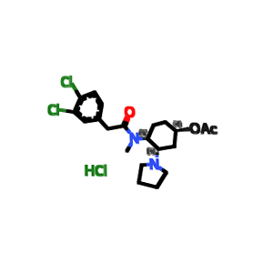 CC(=O)O[C@@H]1CC[C@H](N(C)C(=O)Cc2ccc(Cl)c(Cl)c2)[C@@H](N2CCCC2)C1.Cl